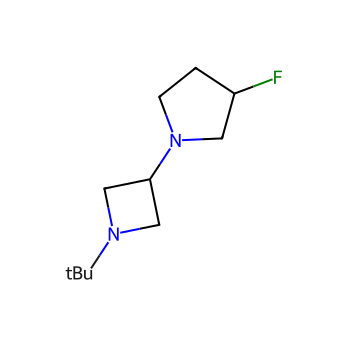 CC(C)(C)N1CC(N2CCC(F)C2)C1